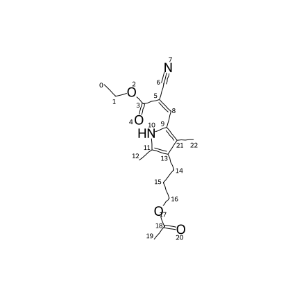 CCOC(=O)C(C#N)=Cc1[nH]c(C)c(CCCOC(C)=O)c1C